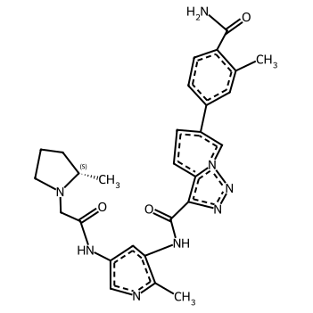 Cc1cc(-c2ccc3c(C(=O)Nc4cc(NC(=O)CN5CCC[C@@H]5C)cnc4C)nnn3c2)ccc1C(N)=O